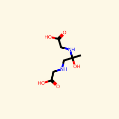 CC(O)(CNCC(=O)O)NCC(=O)O